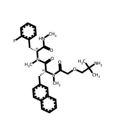 CNC(=O)[C@@H](Cc1ccccc1F)N(C)C(=O)[C@@H](Cc1ccc2ccccc2c1)N(C)C(=O)COCC(C)(C)N